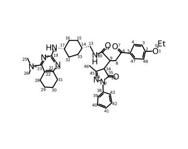 CCOc1ccc(C(=O)CC(C(=O)NC[C@H]2CC[C@@H](Nc3nc4c(c(N(C)C)n3)CCCC4)CC2)C2C(=O)N(c3ccccc3)N=C2C)cc1